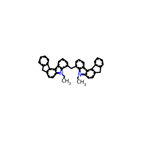 CCn1c2ccc3c(c2c2cccc(Cc4cccc5c6c7c(ccc6n(CC)c45)Cc4ccccc4-7)c21)-c1ccccc1C3